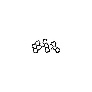 c1cc2ccc3cccc4c(-c5c6ccccc6c(-c6cccc7c6oc6ccccc67)c6ccccc56)cc(c1)c2c34